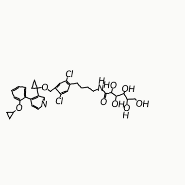 O=C(NCCCCc1cc(Cl)c(COC2(c3cnccc3-c3ccccc3OC3CC3)CC2)cc1Cl)C(O)C(O)C(O)C(O)CO